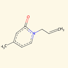 C=CCn1ccc(C)cc1=O